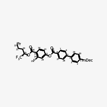 CCCCCCCCCCc1ccc(-c2ccc(C(=O)Oc3ccc(C(=O)OC(CCC(C)C)C(F)(F)F)c(F)c3)cc2)cc1